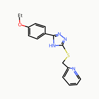 CCOc1ccc(-c2nnc(SCc3ccccn3)[nH]2)cc1